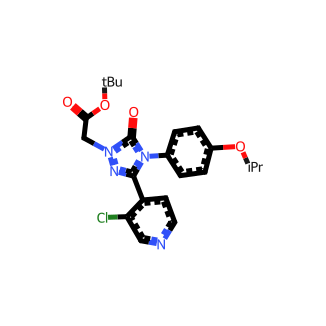 CC(C)Oc1ccc(-n2c(-c3ccncc3Cl)nn(CC(=O)OC(C)(C)C)c2=O)cc1